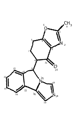 Cc1nc2c(o1)CCC(C1c3ccccc3-c3cncn31)C2=O